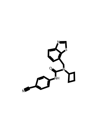 N#Cc1ccc(NC(=O)N(Cc2cccc3ncsc23)C2CCC2)cc1